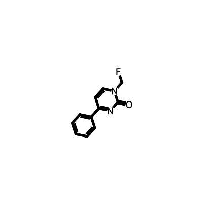 O=c1nc(-c2ccccc2)ccn1CF